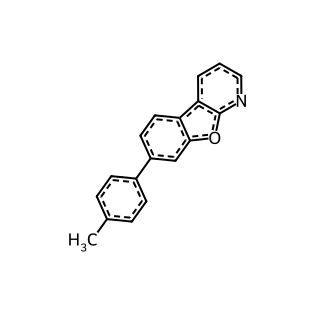 Cc1ccc(-c2ccc3c(c2)oc2ncccc23)cc1